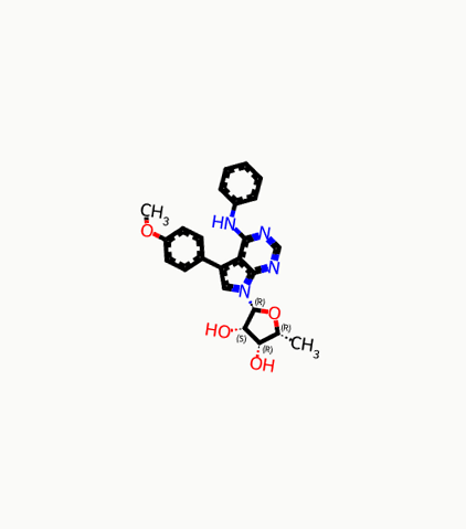 COc1ccc(-c2cn([C@@H]3O[C@H](C)[C@H](O)[C@@H]3O)c3ncnc(Nc4ccccc4)c23)cc1